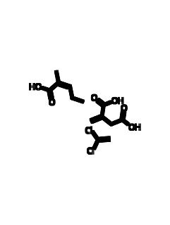 C=C(CC(=O)O)C(=O)O.C=C(Cl)Cl.CCC=C(C)C(=O)O